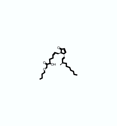 CCCCCCC[C@@H](C)/C=C/[C@H]1C=CC(=O)[C@@H]1C/C=C\CCC(O)C(=O)COCCCC